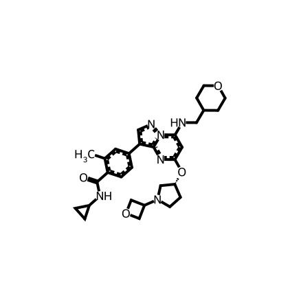 Cc1cc(-c2cnn3c(NCC4CCOCC4)cc(O[C@@H]4CCN(C5COC5)C4)nc23)ccc1C(=O)NC1CC1